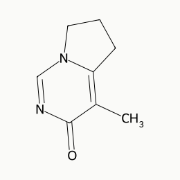 Cc1c2n(cnc1=O)CCC2